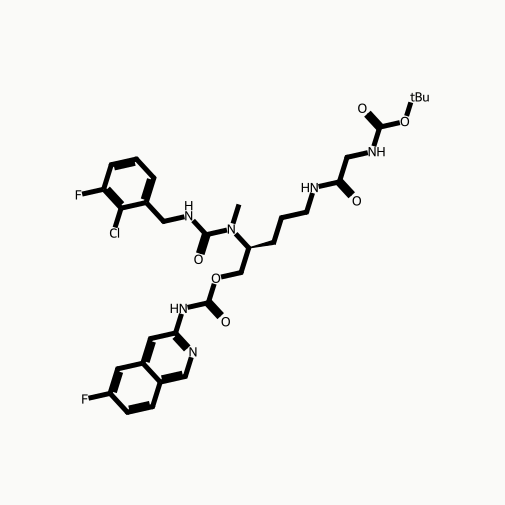 CN(C(=O)NCc1cccc(F)c1Cl)[C@@H](CCCNC(=O)CNC(=O)OC(C)(C)C)COC(=O)Nc1cc2cc(F)ccc2cn1